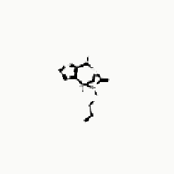 C=CCON1C(=O)N2C[C@H]1c1ccoc1[C@H]2C(=O)O